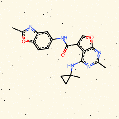 Cc1nc(NC2(C)CC2)c2c(C(=O)Nc3ccc4oc(C)nc4c3)coc2n1